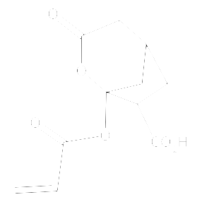 C=CC(=O)OC12CC(CC(=O)O1)CC2C(=O)O